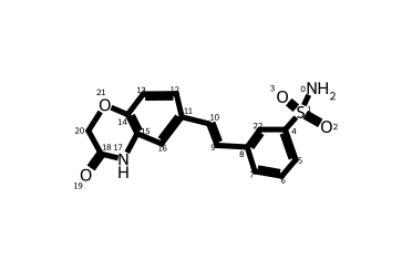 NS(=O)(=O)c1cccc(C=Cc2ccc3c(c2)NC(=O)CO3)c1